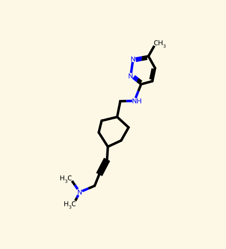 Cc1ccc(NCC2CCC(C#CCN(C)C)CC2)nn1